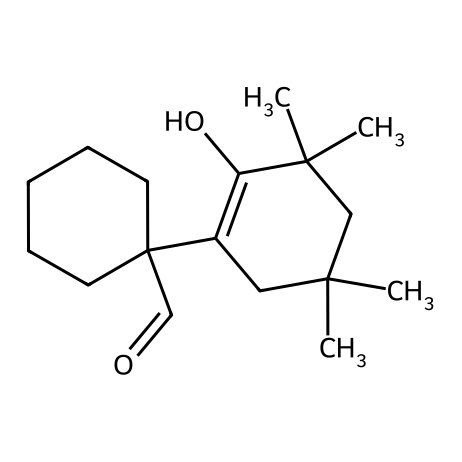 CC1(C)CC(C2(C=O)CCCCC2)=C(O)C(C)(C)C1